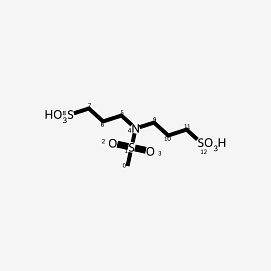 CS(=O)(=O)N(CCCS(=O)(=O)O)CCCS(=O)(=O)O